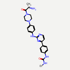 CCNC(=O)Nc1ccc(-c2ccnc(Nc3ccc(N4CCN(C(=O)[C@H](C)N)CC4)cc3)n2)cc1